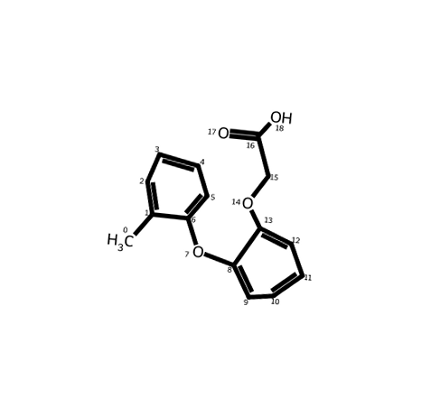 Cc1ccccc1Oc1ccccc1OCC(=O)O